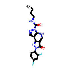 CCCCNC(=O)n1ncc2c3nn(-c4ccc(F)cc4F)c(=O)c-3c[nH]c21